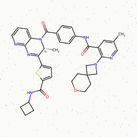 Cc1cnc(N2CC3(CCOCC3)C2)c(C(=O)Nc2ccc(C(=O)N3c4cccnc4N=C(c4ccc(C(=O)NC5CCC5)s4)[C@H]3C)cc2)c1